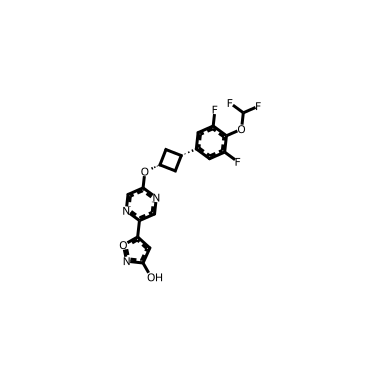 Oc1cc(-c2cnc(O[C@H]3C[C@@H](c4cc(F)c(OC(F)F)c(F)c4)C3)cn2)on1